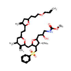 C=CCOCCCC1CC(=C)C(CCC2CC(C)C(=C)C(CC3OC(CC(O)CNC(=O)OC(C)(C)C)[C@H](OC)C3CS(=O)(=O)c3ccccc3)O2)O1